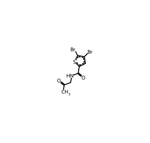 CC(=O)CNC(=O)c1cc(Br)c(Br)s1